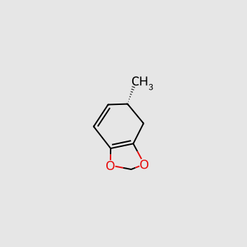 C[C@H]1C=CC2=C(C1)OCO2